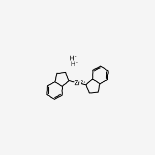 C1=CC2CC[CH]([Zr+2][CH]3CCC4C=CC=CC43)C2C=C1.[H-].[H-]